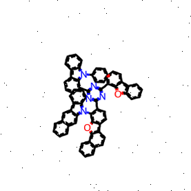 c1ccc(-n2c3ccccc3c3cccc(-c4nc(-c5ccc6c(oc7c8ccccc8ccc67)c5-n5c6ccccc6c6cc7ccccc7cc65)nc(-c5cccc6c5oc5ccccc56)n4)c32)cc1